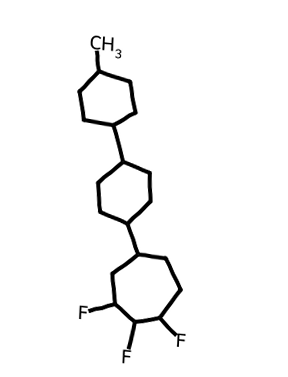 CC1CCC(C2CCC(C3CCC(F)C(F)C(F)C3)CC2)CC1